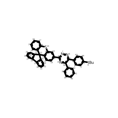 CC(C)(C)c1ccc(-c2nnc(-c3ccc4c(c3)Sc3ccccc3C43c4ccccc4-c4ccccc43)nc2-c2ccccc2)cc1